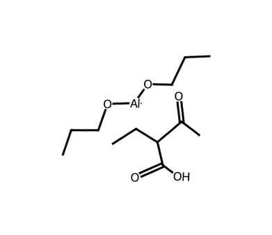 CCC(C(C)=O)C(=O)O.CCC[O][Al][O]CCC